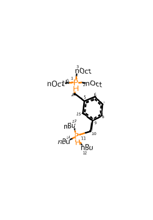 CCCCCCCC[PH](CCCCCCCC)(CCCCCCCC)Cc1cccc(C[PH](CCCC)(CCCC)CCCC)c1